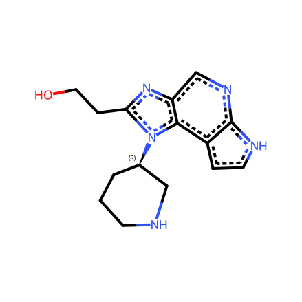 OCCc1nc2cnc3[nH]ccc3c2n1[C@@H]1CCCNC1